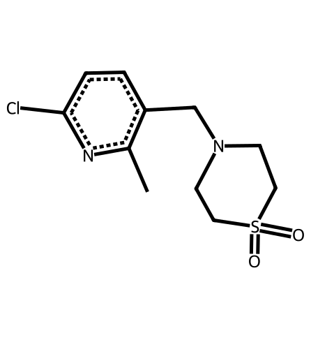 Cc1nc(Cl)ccc1CN1CCS(=O)(=O)CC1